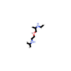 CCNC(C)COCCNC(C)C